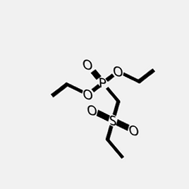 CCOP(=O)(CS(=O)(=O)CC)OCC